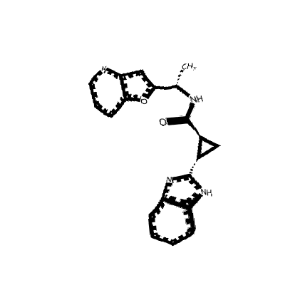 C[C@H](NC(=O)[C@H]1C[C@@H]1c1nc2ccccc2[nH]1)c1cc2ncccc2o1